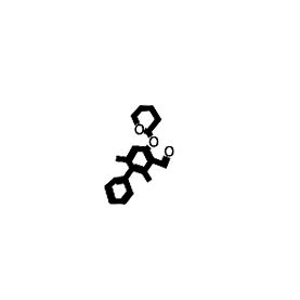 Cc1cc(OC2CCCCO2)c(C=O)c(C)c1-c1ccccc1